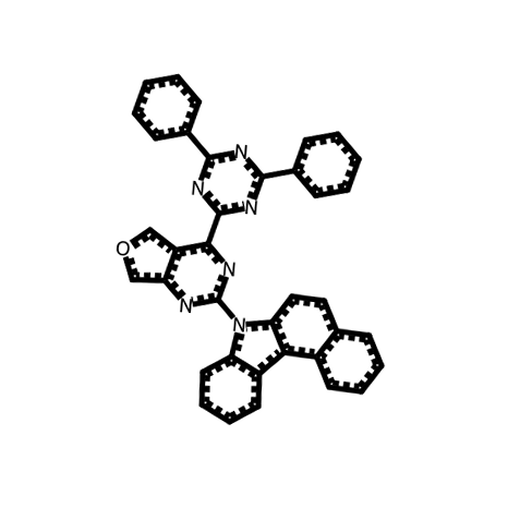 c1ccc(-c2nc(-c3ccccc3)nc(-c3nc(-n4c5ccccc5c5c6ccccc6ccc54)nc4cocc34)n2)cc1